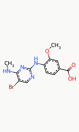 CNc1nc(Nc2ccc(C(=O)O)cc2OC)ncc1Br